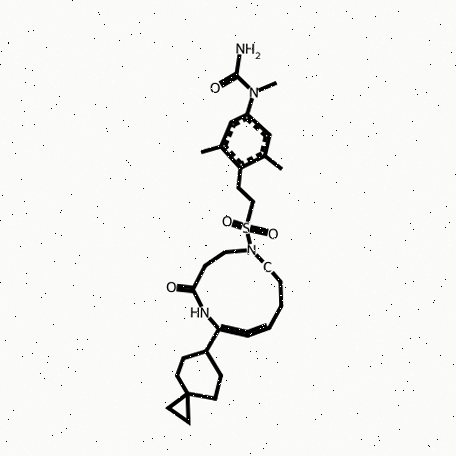 Cc1cc(N(C)C(N)=O)cc(C)c1CCS(=O)(=O)N1CCCC=C=C(C2CCC3(CC2)CC3)NC(=O)CC1